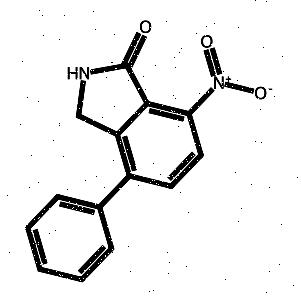 O=C1NCc2c(-c3ccccc3)ccc([N+](=O)[O-])c21